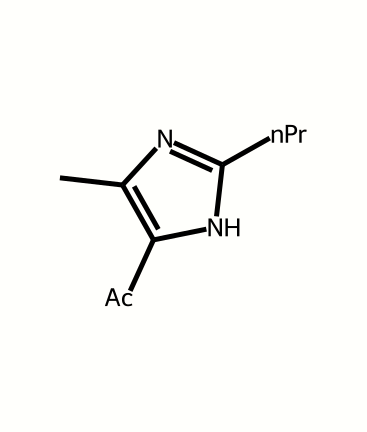 CCCc1nc(C)c(C(C)=O)[nH]1